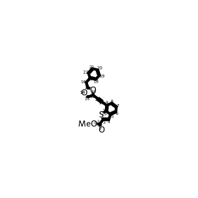 COC(=O)c1cc2cccc(C#CC3COC(Cc4ccccc4)O3)c2s1